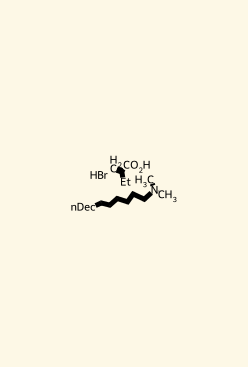 Br.C=C(CC)C(=O)O.CCCCCCCCCCCCCCCCN(C)C